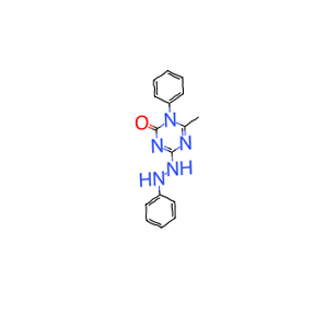 Cc1nc(NNc2ccccc2)nc(=O)n1-c1ccccc1